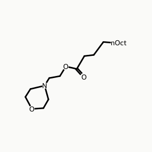 CCCCCCCCCCCC(=O)OCCN1CCOCC1